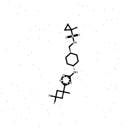 CC1(c2noc(N[C@H]3CC[C@H](CNS(=O)(=O)C4(C)CC4)CC3)n2)CC(F)(F)C1